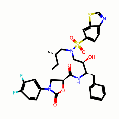 CC[C@H](C)CN(C[C@@H](O)[C@H](Cc1ccccc1)NC(=O)[C@@H]1CN(c2ccc(F)c(F)c2)C(=O)O1)S(=O)(=O)c1ccc2ncsc2c1